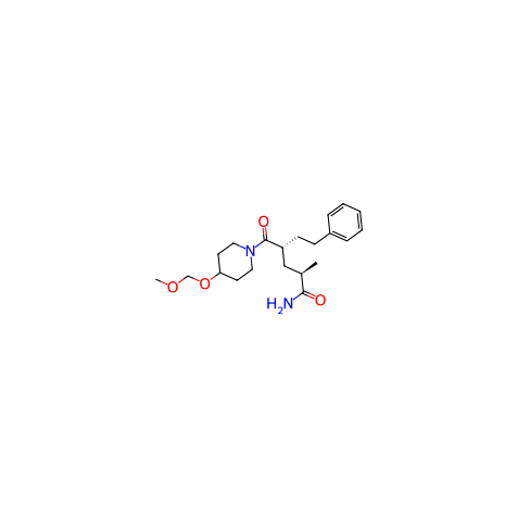 COCOC1CCN(C(=O)[C@H](CCc2ccccc2)C[C@@H](C)C(N)=O)CC1